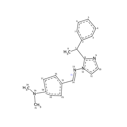 CC(c1ccccc1)c1nccn1/N=C/c1ccc(N(C)C)cc1